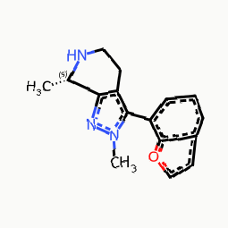 C[C@@H]1NCCc2c1nn(C)c2-c1cccc2ccoc12